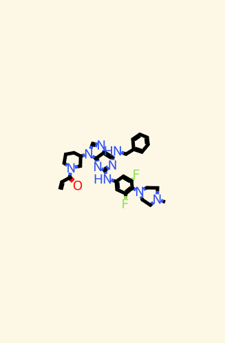 C=CC(=O)N1CCCC(n2cnc3c(NCc4ccccc4)nc(Nc4cc(F)c(N5CCN(C)CC5)c(F)c4)nc32)C1